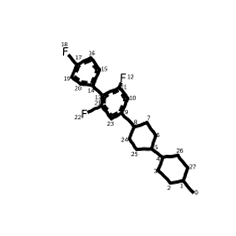 CC1CCC(C2CCC(c3cc(F)c(-c4ccc(F)cc4)c(F)c3)CC2)CC1